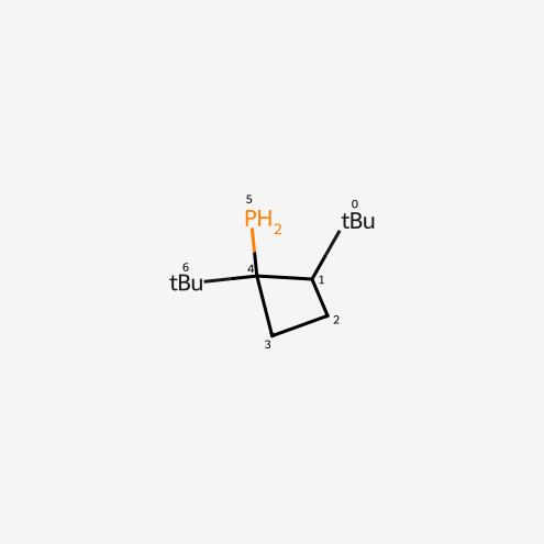 CC(C)(C)C1CCC1(P)C(C)(C)C